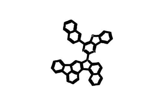 c1ccc2c(c1)-c1cccc3c1c-2cc1c3c2c3ccccc3ccc2n1-c1nc(-c2ccc3ccccc3c2)c2oc3ccccc3c2n1